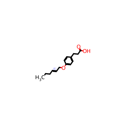 CCC/C=C/COc1ccc(CCC(=O)O)cc1